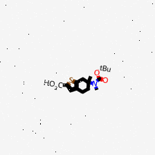 CN(C(=O)OC(C)(C)C)C1(C)CCc2cc(C(=O)O)sc2C1